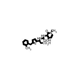 Cc1ccccc1Cc1ccc(C(CC(=O)O)NC(=O)Nc2c(O)ccn(C)c2=O)s1